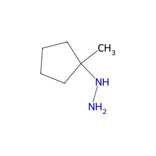 CC1(NN)CCCC1